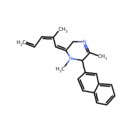 C=C/C=C(C)\C=C1/CN=C(C)C(c2ccc3ccccc3c2)N1C